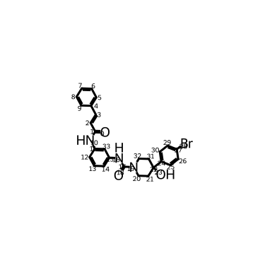 O=C(C=Cc1ccccc1)Nc1cccc(NC(=O)N2CCC(O)(c3ccc(Br)cc3)CC2)c1